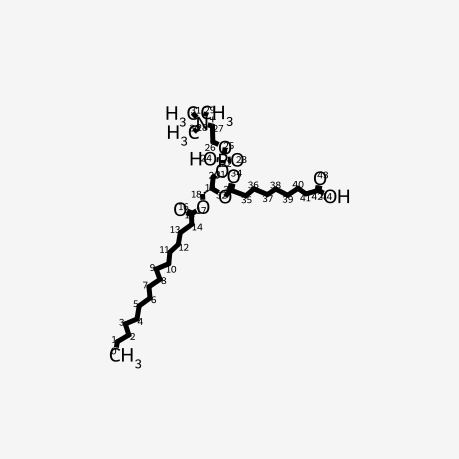 CCCCCCCCCCCCCCCC(=O)OC[C@H](COP(=O)(O)OCC[N+](C)(C)C)OC(=O)CCCCCCCC(=O)O